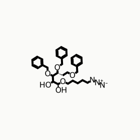 [N-]=[N+]=NCCCCCO[C@@H](O)C(O)C(OCc1ccccc1)[C@@H](CCOCc1ccccc1)OCc1ccccc1